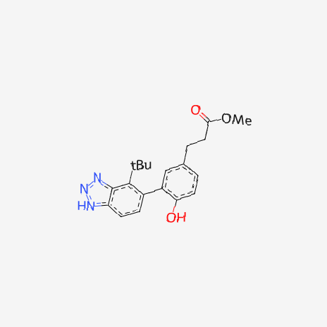 COC(=O)CCc1ccc(O)c(-c2ccc3[nH]nnc3c2C(C)(C)C)c1